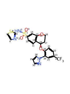 O=S(=O)(Nc1nccs1)c1ccc2c(c1)OCCC2Oc1ccc(C(F)(F)F)cc1-n1cccn1